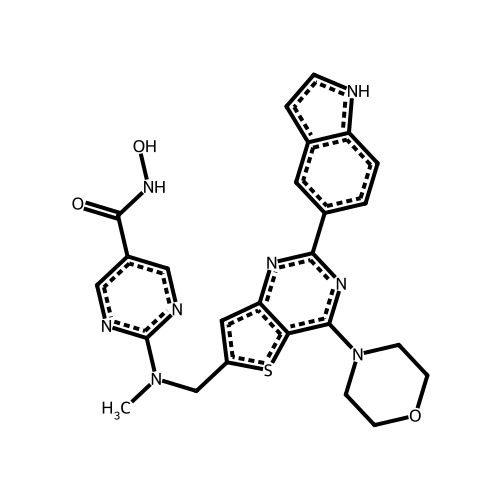 CN(Cc1cc2nc(-c3ccc4[nH]ccc4c3)nc(N3CCOCC3)c2s1)c1ncc(C(=O)NO)cn1